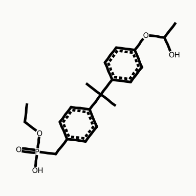 CCOP(=O)(O)Cc1ccc(C(C)(C)c2ccc(OC(C)O)cc2)cc1